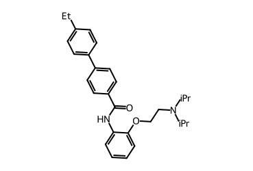 CCc1ccc(-c2ccc(C(=O)Nc3ccccc3OCCN(C(C)C)C(C)C)cc2)cc1